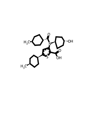 C[C@H]1CC[C@H](C(=O)N(c2cc([C@H]3CC[C@@H](C)CC3)sc2C(=O)O)[C@H]2CC[C@H](O)CC2)CC1